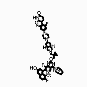 CCc1c(F)ccc2cc(O)cc(-c3ncc4c(N5CC6CCC(C5)N6)nc(OCC5(CN6C[C@H]7CC(N8CCN(c9cc(F)c(C%10CCC(=O)NC%10=O)c(F)c9)CC8)C[C@H]7C6)CC5)nc4c3F)c12